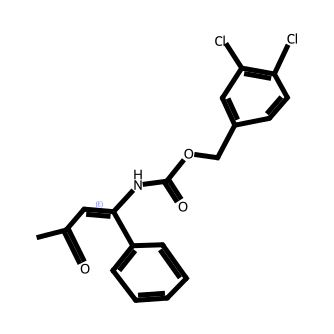 CC(=O)/C=C(/NC(=O)OCc1ccc(Cl)c(Cl)c1)c1ccccc1